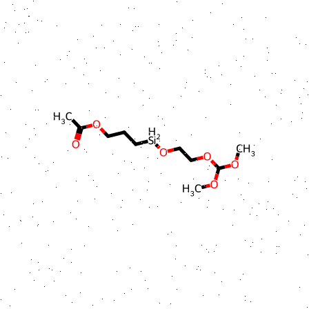 COC(OC)OCCO[SiH2]CCCOC(C)=O